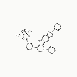 CC1(C)OB(c2cccc(C3=C4N=c5cc6nc(-c7ccccc7)sc6cc5=C4C(c4ccccc4)C=C3)c2)OC1(C)C